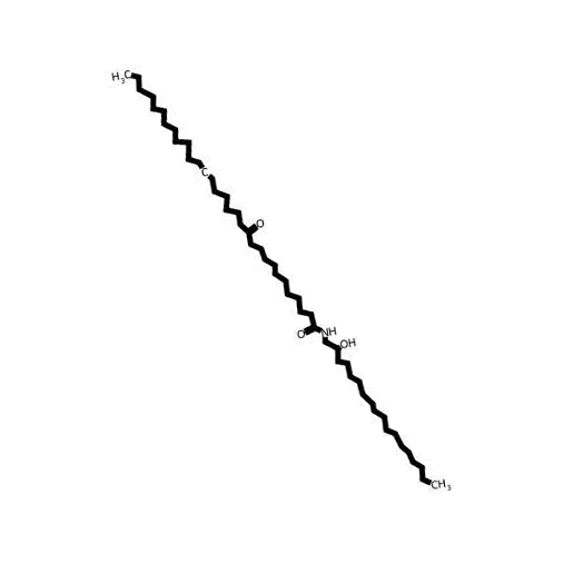 CCCCCCCCCCCCCCCCCCCC(=O)CCCCCCCCCCC(=O)NCC(O)CCCCCCCCCCCCCCCC